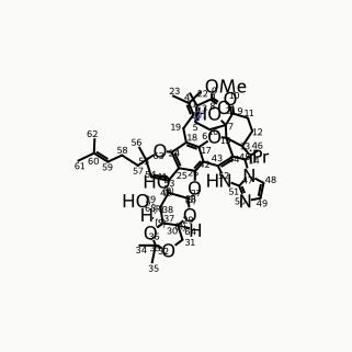 COC(=O)/C(C)=C\CC1(O)C(=O)CCC(C(C)C)C12Oc1c(CC=C(C)C)c3c(c(O[C@@H]4O[C@@H]5COC(C)(C)O[C@H]5[C@H](O)[C@H]4O)c1C1=C2C(C)n2ccnc2N1)C=CC(C)(CCC=C(C)C)O3